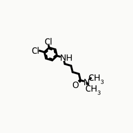 CN(C)C(=O)CCCCNc1ccc(Cl)c(Cl)c1